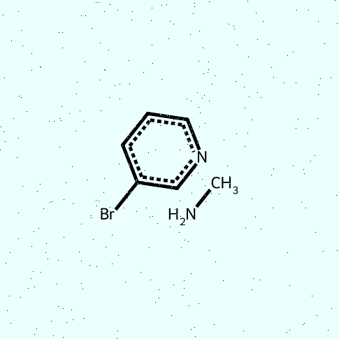 Brc1cccnc1.CN